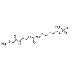 CSCC(=O)NCCOC(=O)NCCCCCCOP(C)(=O)S